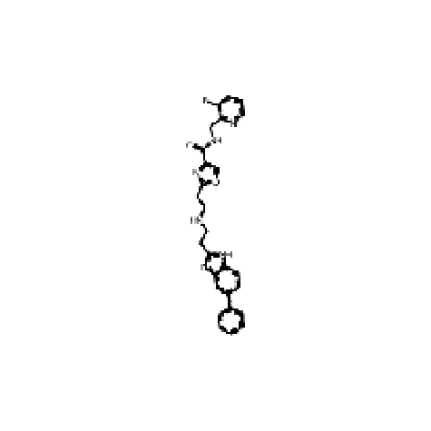 O=C(NCc1ncccc1F)c1coc(CCNCCc2nc3cc(-c4ccccc4)ccc3[nH]2)n1